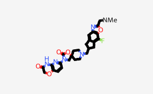 CNCc1nc2cc3c(c(F)c2o1)CC(CN1CCC2(CC1)CN(c1ccc4c(n1)NC(=O)CO4)C(=O)O2)C3